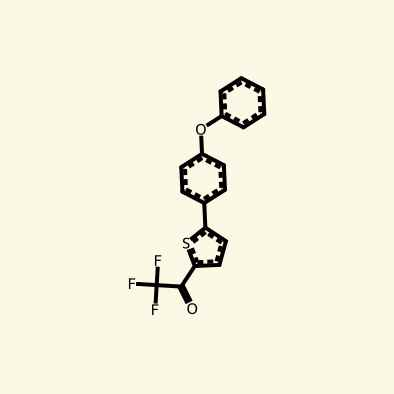 O=C(c1ccc(-c2ccc(Oc3ccccc3)cc2)s1)C(F)(F)F